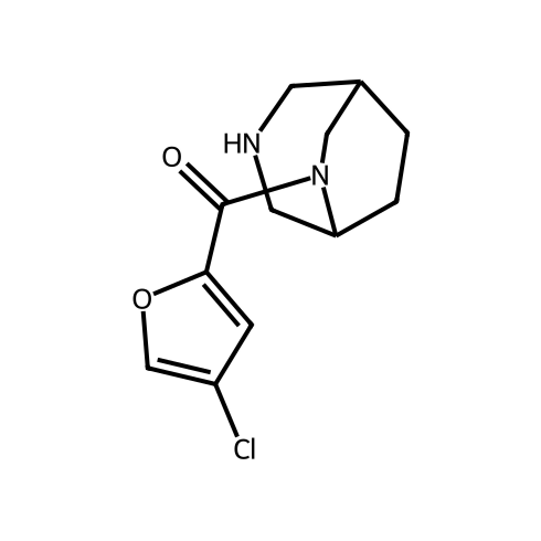 O=C(c1cc(Cl)co1)N1CC2CCC1CNC2